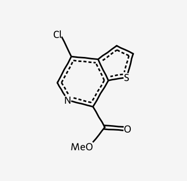 COC(=O)c1ncc(Cl)c2ccsc12